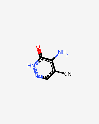 N#Cc1cn[nH]c(=O)c1N